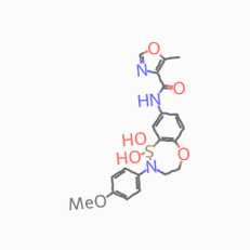 COc1ccc(N2CCOc3ccc(NC(=O)c4ncoc4C)cc3S2(O)O)cc1